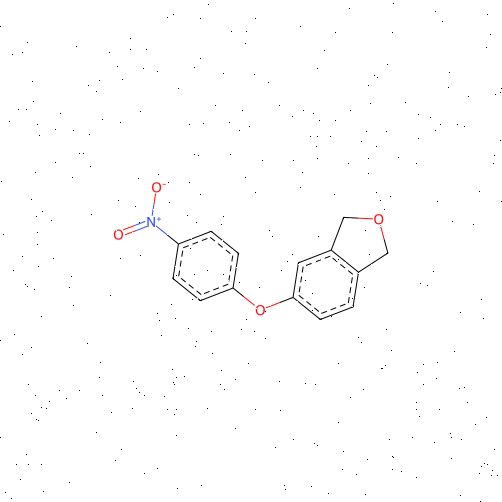 O=[N+]([O-])c1ccc(Oc2ccc3c(c2)COC3)cc1